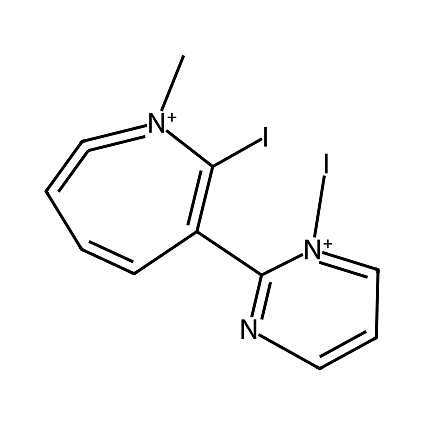 C[N+]1=C=CC=CC(c2nccc[n+]2I)=C1I